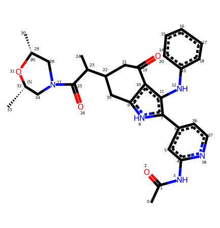 CC(=O)Nc1cc(-c2[nH]c3c(c2Nc2ccccc2)C(=O)CC(C(C)C(=O)N2C[C@@H](C)O[C@@H](C)C2)C3)ccn1